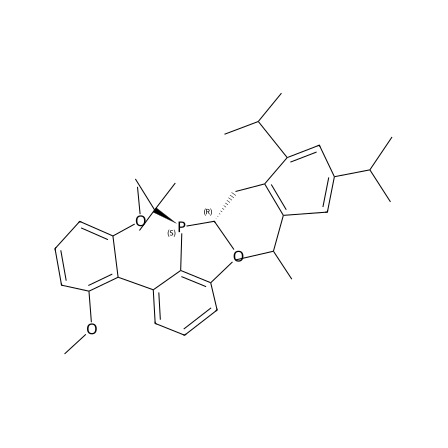 COc1cccc(OC)c1-c1cccc2c1[P@@](C(C)(C)C)[C@H](Cc1c(C(C)C)cc(C(C)C)cc1C(C)C)O2